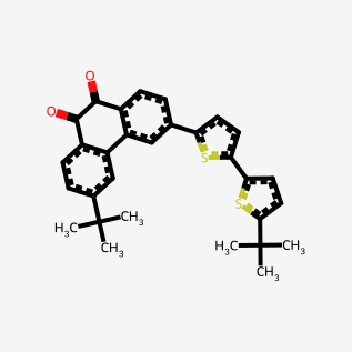 CC(C)(C)c1ccc2c(c1)-c1cc(-c3ccc(-c4ccc(C(C)(C)C)s4)s3)ccc1C(=O)C2=O